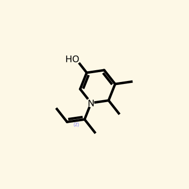 C/C=C(/C)N1C=C(O)C=C(C)C1C